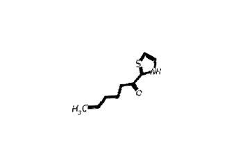 CCCCCC(=O)C1NC=CS1